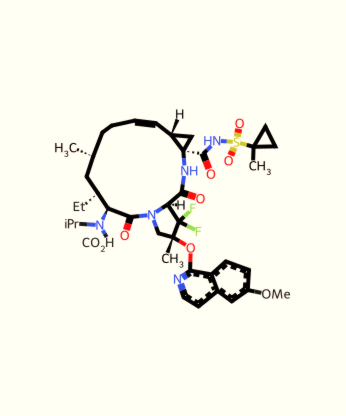 CC[C@@H]1C[C@H](C)CC/C=C\[C@@H]2C[C@@]2(C(=O)NS(=O)(=O)C2(C)CC2)NC(=O)[C@@H]2N(C[C@@](C)(Oc3nccc4cc(OC)ccc34)C2(F)F)C(=O)[C@H]1N(C(=O)O)C(C)C